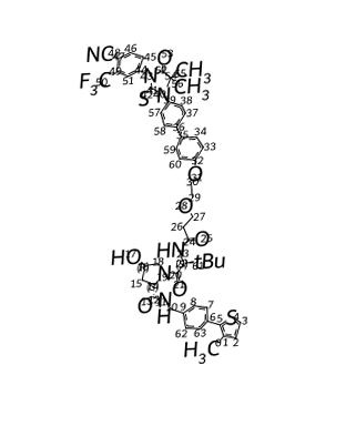 Cc1ccsc1-c1ccc(CNC(=O)[C@@H]2C[C@@H](O)CN2C(=O)[C@@H](NC(=O)CCOCCOc2ccc(-c3ccc(N4C(=S)N(c5ccc(C#N)c(C(F)(F)F)c5)C(=O)C4(C)C)cc3)cc2)C(C)(C)C)cc1